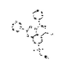 CC(C)Cc1cc(C(C)(C)CC(C)(C)C)cc(OC(=O)c2ccccc2)c1OC(=O)c1ccccc1